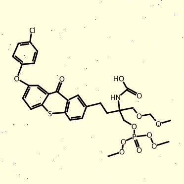 COCOCC(CCc1ccc2sc3ccc(Oc4ccc(Cl)cc4)cc3c(=O)c2c1)(COP(=O)(OOC)OOC)NC(=O)O